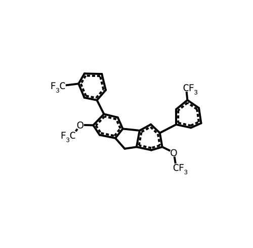 FC(F)(F)Oc1cc2c(cc1-c1cccc(C(F)(F)F)c1)-c1cc(-c3cccc(C(F)(F)F)c3)c(OC(F)(F)F)cc1C2